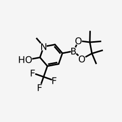 CN1C=C(B2OC(C)(C)C(C)(C)O2)C=C(C(F)(F)F)C1O